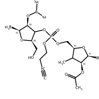 [2H]B([3H])O[C@H]1C(OP(=O)(OCC[N+]#[C-])OC[C@H]2O[C@@H](B)[C@@H](OC(C)=O)C2C)[C@@H](CO)O[C@H]1B